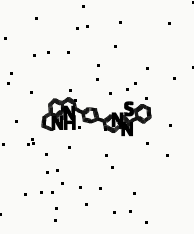 C1=Cc2ccc3ccc(-c4ccc(-c5ccc6nc7c8ccccc8sc7n6c5)cc4)nc3c2NC1